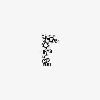 CC[C@@H](Oc1ccc(C(=O)NCCC(=O)OC(C)(C)C)cc1)c1ccc(Br)cc1